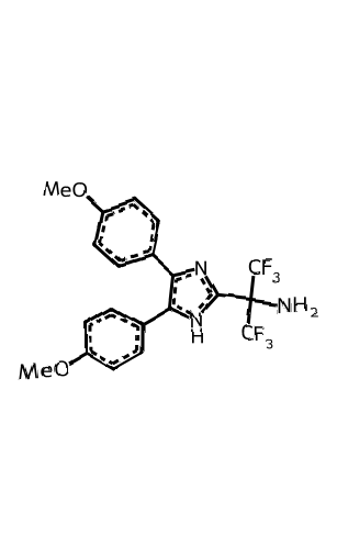 COc1ccc(-c2nc(C(N)(C(F)(F)F)C(F)(F)F)[nH]c2-c2ccc(OC)cc2)cc1